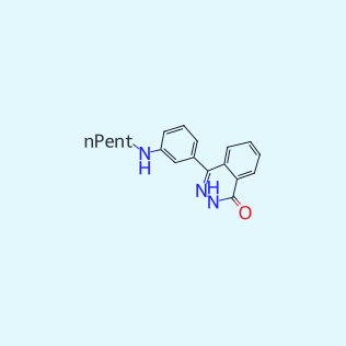 CCCCCNc1cccc(-c2n[nH]c(=O)c3ccccc23)c1